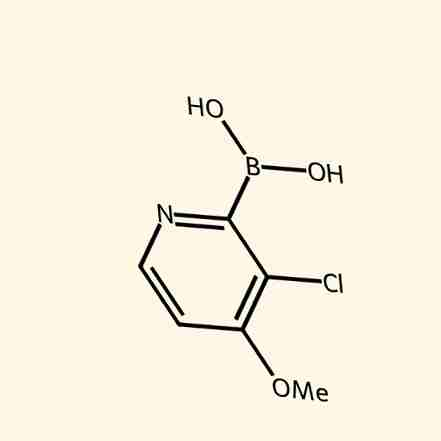 COc1ccnc(B(O)O)c1Cl